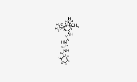 CC1(C)CC(NCCNCCNCc2ccccc2)CC(C)(C)N1